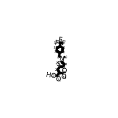 CN(Cc1ccc(C(F)(F)F)cc1)c1cc2oc(=O)c(C(=O)O)cc2s1